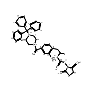 CC(Cc1ccc(C(=O)N2CCN(C(c3ccccc3)(c3ccccc3)c3ccccc3)CC2)cc1[N+](=O)[O-])OC(=O)ON1C(=O)CCC1=O